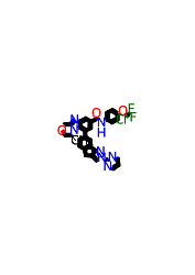 C[C@@H]1COCc2nc3cc(C(=O)Nc4ccc(OC(F)(F)Cl)cc4)cc(-c4ccc5c(c4)-c4nn(-c6ncccn6)cc4C5)c3n21